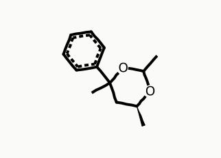 CC1O[C@@H](C)CC(C)(c2ccccc2)O1